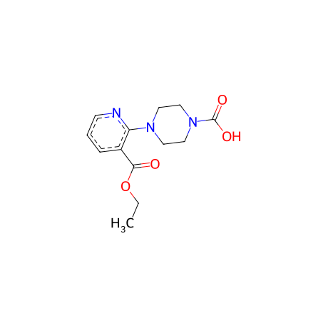 CCOC(=O)c1cccnc1N1CCN(C(=O)O)CC1